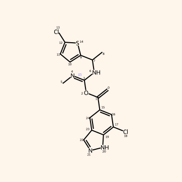 C=C(O/C(=N\C)NC(C)c1ccc(Cl)s1)c1cc(Cl)c2[nH]ncc2c1